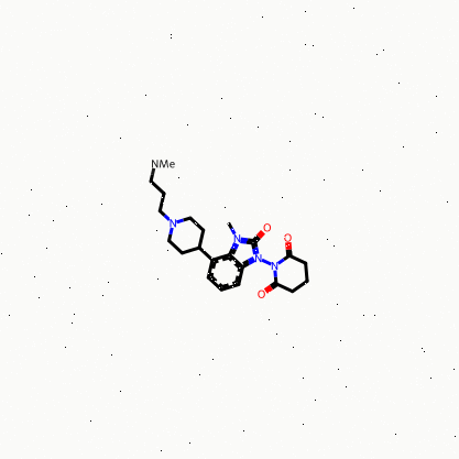 CNCCCN1CCC(c2cccc3c2n(C)c(=O)n3N2C(=O)CCCC2=O)CC1